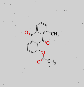 CC(=O)Oc1cccc2c1C(=O)c1c(C)cccc1C2=O